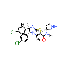 CCN(C(=O)C1=C(C(C)C)N2C(=N[C@@](C)(c3ccc(Cl)cc3)[C@H]2c2ccc(Cl)cc2)S1)[C@]1(C)CCNC1